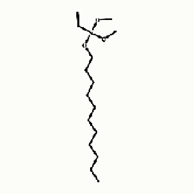 CCCCCCCCCCCO[Si](CC)(OC)OC